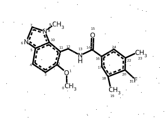 COc1ccc2ncn(C)c2c1CNC(=O)c1cc(C)c(F)c(C)c1